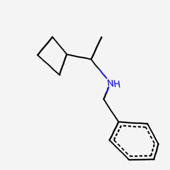 CC(NCc1ccccc1)C1CCC1